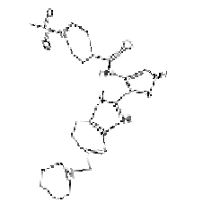 CS(=O)(=O)N1CCC(C(=O)Nc2c[nH]nc2-c2nc3c([nH]2)CCC(CN2CCCCC2)=C3)CC1